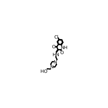 O=C1Nc2ccc(Cl)cc2C(=O)/C1=C/NCCN1CCN(CCO)CC1